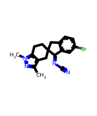 Cc1nn(C)c2c1CC1(CC2)Cc2ccc(Br)cc2C1=NC#N